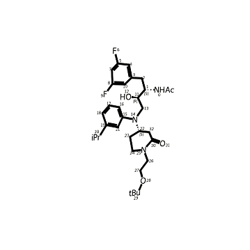 CC(=O)N[C@@H](Cc1cc(F)cc(F)c1)[C@H](O)CN(c1cccc(C(C)C)c1)[C@H]1CCN(CCOC(C)(C)C)C(=O)C1